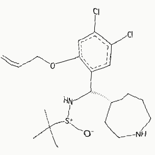 C=CCOc1cc(Cl)c(Cl)cc1C(N[S+]([O-])C(C)(C)C)[C@@H]1CCCNCC1